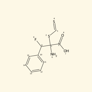 NC(SC=S)(C(=O)O)C(F)c1ccccc1